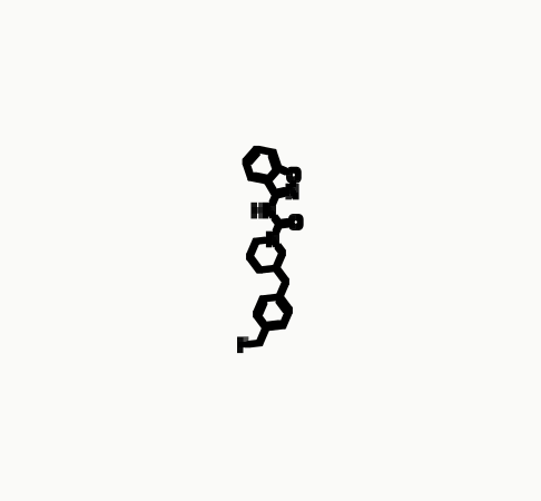 O=C(Nc1noc2ccccc12)N1CCCC(Cc2ccc(CF)cc2)C1